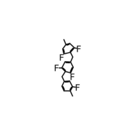 Cc1cc(F)c(Cc2cc(F)c(Cc3ccc(C)c(F)c3)c(F)c2)c(F)c1